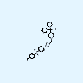 N#CC(c1ccccc1)(C1CCCC1)C1CCN(CC2CN(c3ccc(S(=O)(=O)c4ccc(F)cc4)cc3)C2)CC1